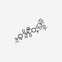 CC(C)N(C)c1ccc(C(=O)NNC(=O)c2cc(F)c(OCC3COC(C)(C)N3C(=O)OC(C)(C)C)cc2Cl)cn1